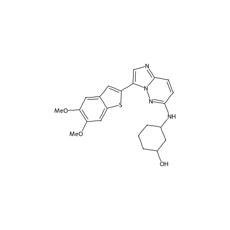 COc1cc2cc(-c3cnc4ccc(NC5CCCC(O)C5)nn34)sc2cc1OC